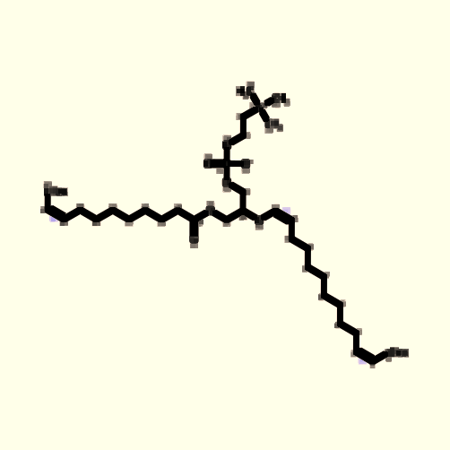 CCCCCC/C=C\CCCCCCCC/C=C\OC(COC(=O)CCCCCCC/C=C\CCCCCC)COP(=O)([O-])OCC[N+](C)(C)C